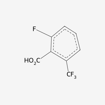 O=C(O)c1c(F)cccc1C(F)(F)F